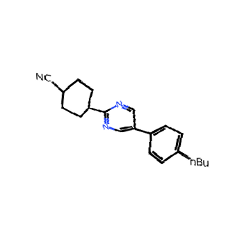 CCCCc1ccc(-c2cnc(C3CCC(C#N)CC3)nc2)cc1